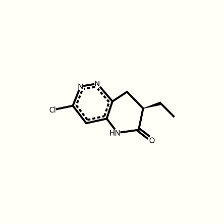 CC[C@@H]1Cc2nnc(Cl)cc2NC1=O